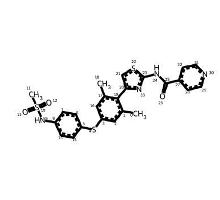 Cc1cc(Sc2ccc(NS(C)(=O)=O)cc2)cc(C)c1-c1csc(NC(=O)c2ccncc2)n1